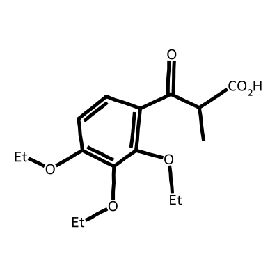 CCOc1ccc(C(=O)C(C)C(=O)O)c(OCC)c1OCC